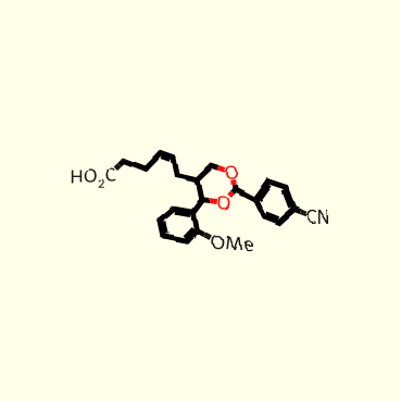 COc1ccccc1C1OC(c2ccc(C#N)cc2)OCC1C/C=C\CCC(=O)O